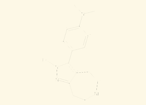 CCn1nc2c(c1-c1ccc(N(C)C)cc1)CCNCC2